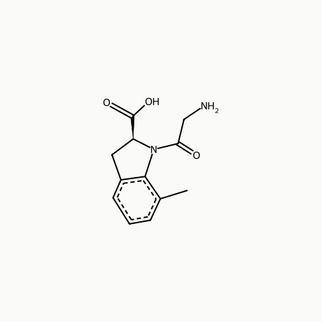 Cc1cccc2c1N(C(=O)CN)[C@H](C(=O)O)C2